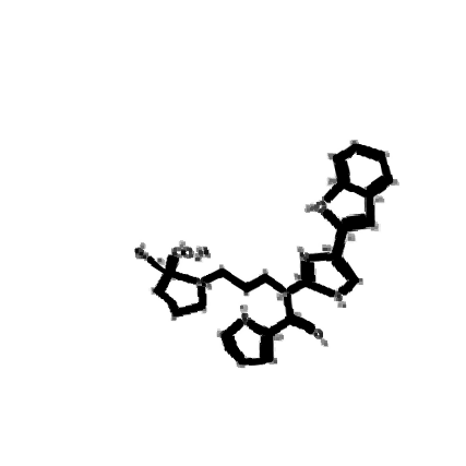 CC(C)(C)[C@]1(C(=O)O)CCCN1CCCN(C(=O)c1cccs1)c1nc(-c2cc3ccccc3o2)cs1